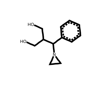 OCC(CO)C(c1ccccc1)N1CC1